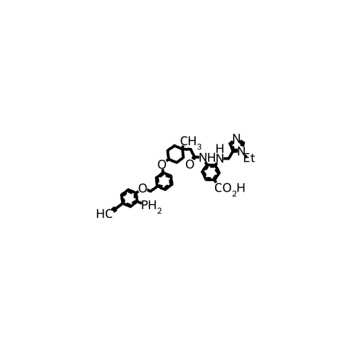 C#Cc1ccc(OCc2cccc(OC3CCC(C)(CC(=O)Nc4ccc(C(=O)O)cc4NCc4cncn4CC)CC3)c2)c(P)c1